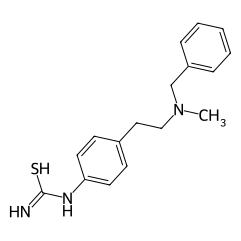 CN(CCc1ccc(NC(=N)S)cc1)Cc1ccccc1